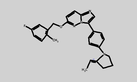 C/C=C1\CCCN1c1ccc(-c2cnc3ccc(OCc4cc(F)ccc4C)nn23)cc1